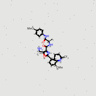 COc1ccc(NC(=O)[C@@H](C)NC(=O)c2nc(-c3ccc(OC)c4nc(C(F)(F)F)ccc34)oc2[C@H](C)N)cc1